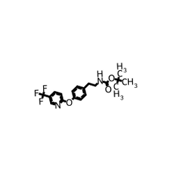 CC(C)(C)OC(=O)NCCc1ccc(Oc2ccc(C(F)(F)F)cn2)cc1